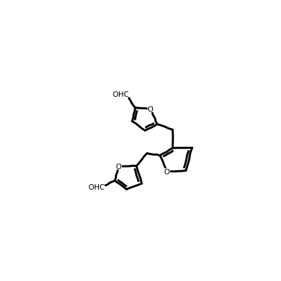 O=Cc1ccc(Cc2ccoc2Cc2ccc(C=O)o2)o1